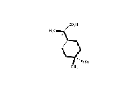 CCCC[C@]1(C)CC[C@H]([C@H](C)C(=O)O)CC1